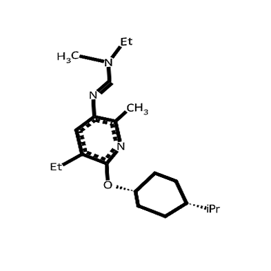 CCc1cc(/N=C/N(C)CC)c(C)nc1O[C@H]1CC[C@@H](C(C)C)CC1